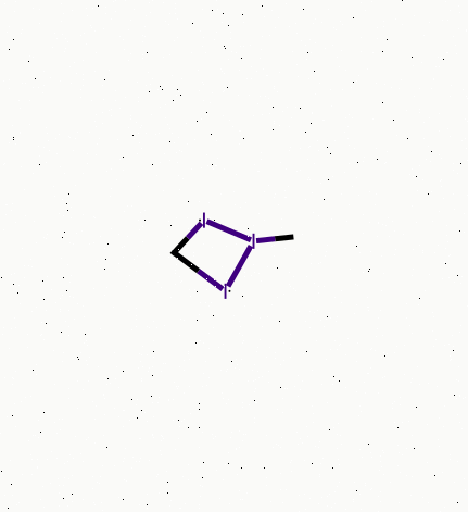 CI1[I]C[I]1